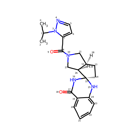 CC(C)n1nccc1C(=O)N1C[C@H]2CC[C@]3(NC(=O)c4ccccc4N3)[C@H]2C1